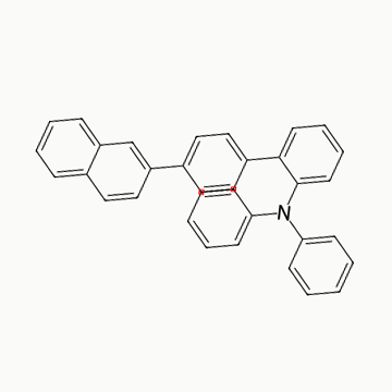 c1ccc(N(c2ccccc2)c2ccccc2-c2ccc(-c3ccc4ccccc4c3)cc2)cc1